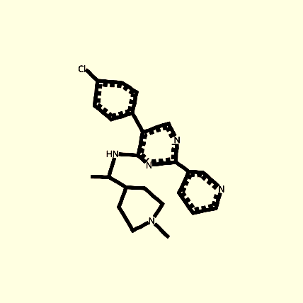 CC(Nc1nc(-c2cccnc2)ncc1-c1ccc(Cl)cc1)C1CCN(C)CC1